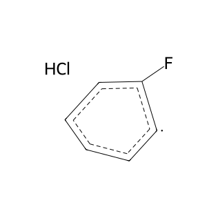 Cl.Fc1[c]cccc1